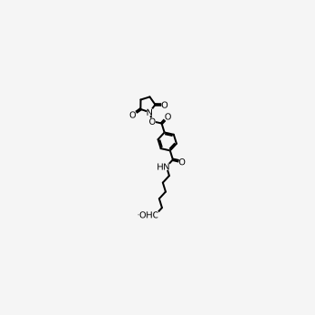 O=[C]CCCCCNC(=O)c1ccc(C(=O)ON2C(=O)CCC2=O)cc1